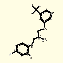 CC(C)(C)c1cncc(OC[C@@H](N)CNc2ccc(F)cc2F)c1